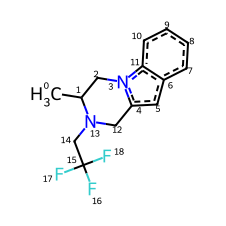 CC1Cn2c(cc3ccccc32)CN1CC(F)(F)F